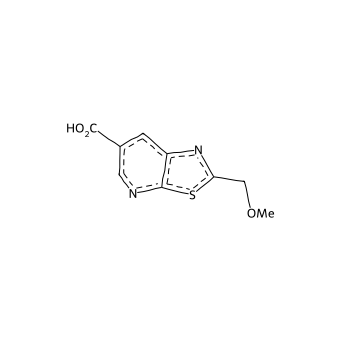 COCc1nc2cc(C(=O)O)cnc2s1